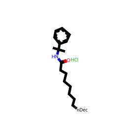 CCCCCCCCCCCCCCCCCC(=O)NC(C)(C)c1ccccc1.Cl